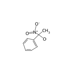 CC([O])(c1ccccc1)[N+](=O)[O-]